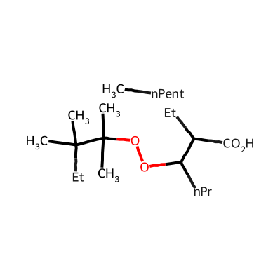 CCCC(OOC(C)(C)C(C)(C)CC)C(CC)C(=O)O.CCCCCC